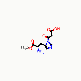 COC(=O)[C@@H](N)Cc1cncn1C(=O)CC(=O)O